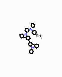 Cc1ccc(N(c2ccccc2)c2cccc(-n3c4ccccc4c4cc(-c5ccc6c(c5)c5ccccc5n6-c5ccccc5)ccc43)c2)cc1